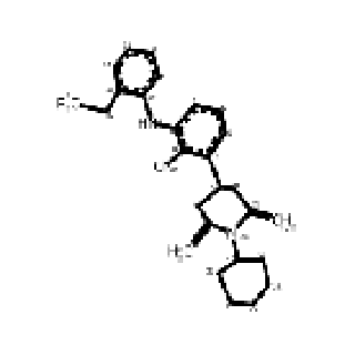 C=C1CC(c2cccc(Nc3ccccc3CC(F)(F)F)c2Cl)CC(=C)N1C1CCCCC1